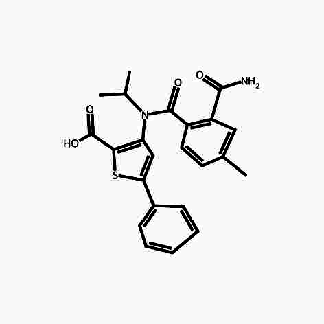 Cc1ccc(C(=O)N(c2cc(-c3ccccc3)sc2C(=O)O)C(C)C)c(C(N)=O)c1